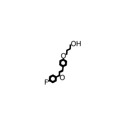 O=C(C=Cc1ccc(OCCCCO)cc1)c1ccc(F)cc1